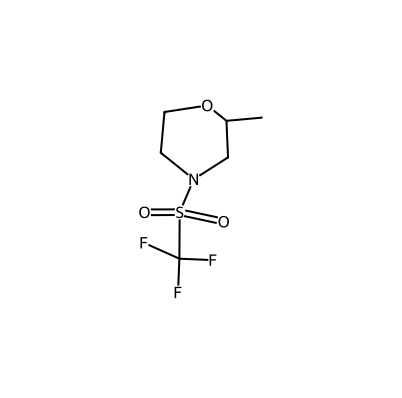 CC1CN(S(=O)(=O)C(F)(F)F)CCO1